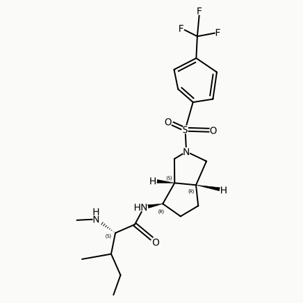 CCC(C)[C@H](NC)C(=O)N[C@@H]1CC[C@H]2CN(S(=O)(=O)c3ccc(C(F)(F)F)cc3)C[C@H]21